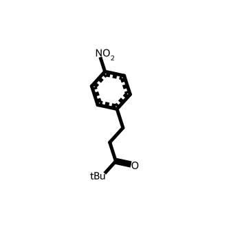 CC(C)(C)C(=O)CCc1ccc([N+](=O)[O-])cc1